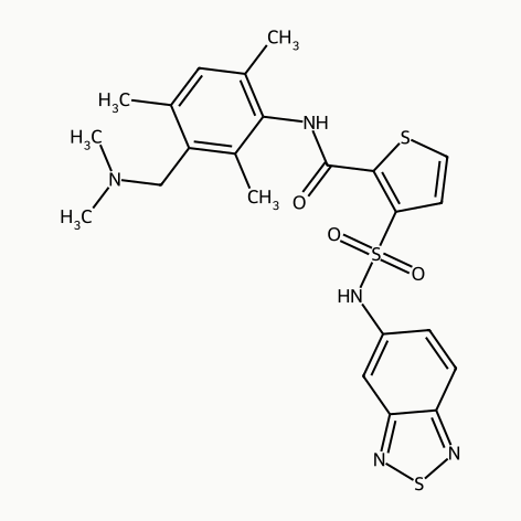 Cc1cc(C)c(NC(=O)c2sccc2S(=O)(=O)Nc2ccc3nsnc3c2)c(C)c1CN(C)C